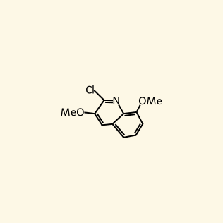 COc1cc2cccc(OC)c2nc1Cl